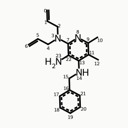 C=CCN(CC=C)c1nc(C)c(C)c(NCc2ccccc2)c1N